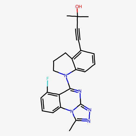 Cc1nnc2nc(N3CCCc4c(C#CC(C)(C)O)cccc43)c3c(F)cccc3n12